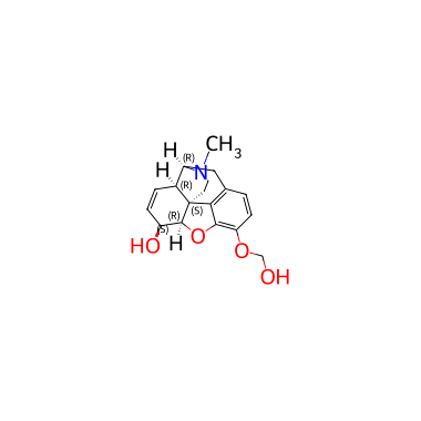 CN1CC[C@]23c4c5ccc(OCO)c4O[C@H]2[C@@H](O)C=C[C@H]3[C@H]1C5